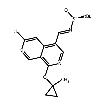 CC1(Oc2ncc(/C=N/[S@@+]([O-])C(C)(C)C)c3cc(Cl)ncc23)CC1